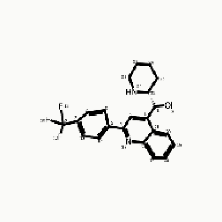 OC(c1cc(-c2ccc(C(F)(F)F)cc2)nc2ccccc12)[C@H]1CCCCN1